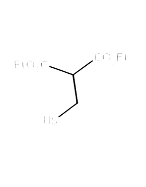 CCOC(=O)C(CS)C(=O)OCC